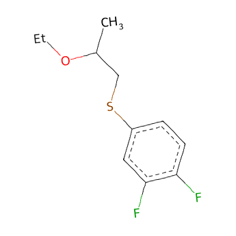 CCOC(C)CSc1ccc(F)c(F)c1